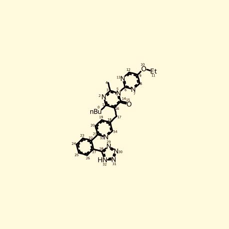 CCCCc1nc(C)n(-c2ncc(OCC)cn2)c(=O)c1Cc1ccc(-c2ccccc2-c2nnn[nH]2)nc1